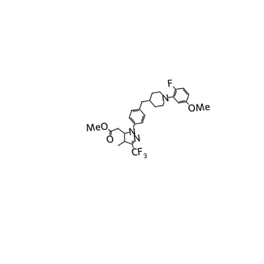 COC(=O)CC1C(C)C(C(F)(F)F)=NN1c1ccc(CC2CCN(c3cc(OC)ccc3F)CC2)cc1